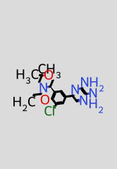 C=CC(=O)N1CC(C)(C)OC[C@H]1c1cc(Cl)cc(-c2cnc(N)c(N)n2)c1